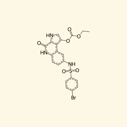 CCOC(=O)Oc1c[nH]c2c(=O)[nH]c3ccc(NS(=O)(=O)c4ccc(Br)cc4)cc3c12